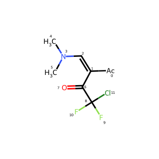 CC(=O)C(=CN(C)C)C(=O)C(F)(F)Cl